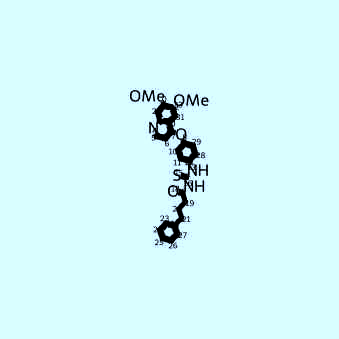 COc1cc2nccc(Oc3ccc(NC(=S)NC(=O)CCCc4ccccc4)cc3)c2cc1OC